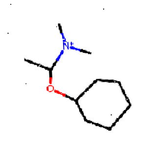 CC(OC1CCCCC1)[N+](C)C